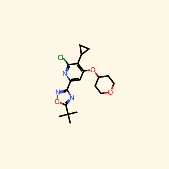 CC(C)(C)c1nc(-c2cc(OC3CCOCC3)c(C3CC3)c(Cl)n2)no1